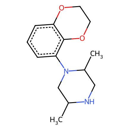 CC1CN(c2cccc3c2OCCO3)C(C)CN1